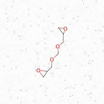 C(OCC1CO1)OCC1CO1